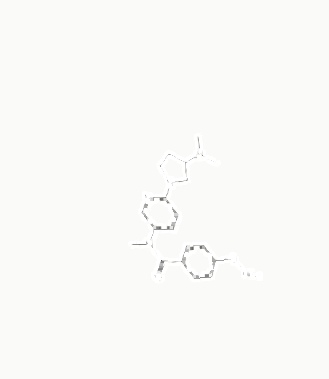 CCCCOc1ccc(C(=O)N(C)c2ccc(N3CCC(N(C)C)C3)nc2)cc1